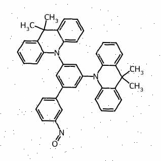 CC1(C)c2ccccc2N(c2cc(-c3cccc(N=O)c3)cc(N3c4ccccc4C(C)(C)c4ccccc43)c2)c2ccccc21